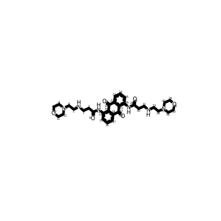 O=C(CCNCCN1CCOCC1)Nc1cccc2c1C(=O)c1cccc(NC(=O)CCNCCN3CCOCC3)c1C2=O